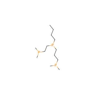 CCCCP(CCCP(C)C)CCP(C)C